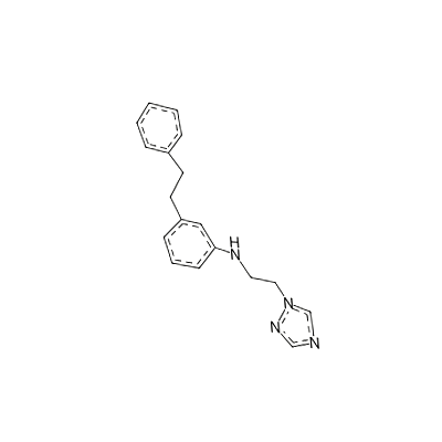 c1ccc(CCc2cccc(NCCn3cncn3)c2)cc1